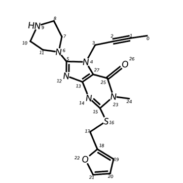 CC#CCn1c(N2CCNCC2)nc2nc(SCc3ccco3)n(C)c(=O)c21